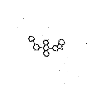 c1ccc(-c2cccc(-c3c4ccccc4c(-c4ccc5sc6ccccc6c5c4)c4ccccc34)c2)cc1